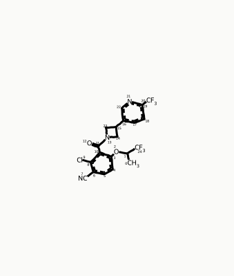 CC(Oc1ccc(C#N)c(Cl)c1C(=O)N1CC(c2ccc(C(F)(F)F)nc2)C1)C(F)(F)F